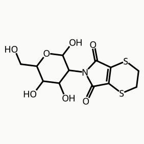 O=C1C2=C(SCCS2)C(=O)N1C1C(O)OC(CO)C(O)C1O